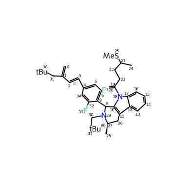 C=C(/C=C/c1cc(F)c(C2c3c(c4ccccc4n3C(=C)CCC(C)SC)C[C@@H](C)N2CC(C)(C)C)c(F)c1)CC(C)(C)C